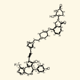 Cc1c(C#Cc2cnn(CCN3CCC(Oc4cccc5c4CN(C4CCC(=O)NC4O)C5=O)CC3)c2)sc2c1C(c1ccc(Cl)cc1)=NCc1nnc(C)n1-2